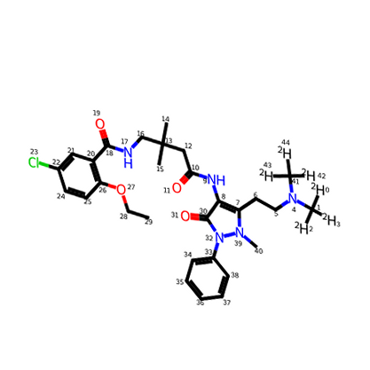 [2H]C([2H])([2H])N(CCc1c(NC(=O)CC(C)(C)CNC(=O)c2cc(Cl)ccc2OCC)c(=O)n(-c2ccccc2)n1C)C([2H])([2H])[2H]